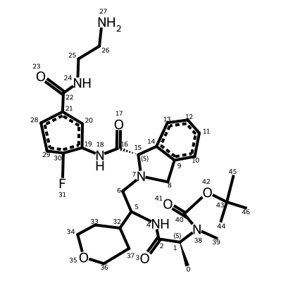 C[C@@H](C(=O)NC(CN1Cc2ccccc2[C@H]1C(=O)Nc1cc(C(=O)NCCN)ccc1F)C1CCOCC1)N(C)C(=O)OC(C)(C)C